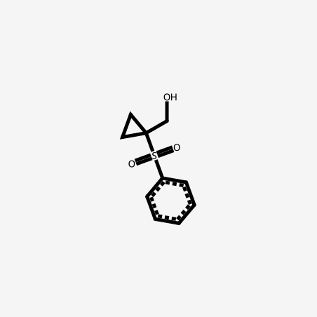 O=S(=O)(c1ccccc1)C1(CO)CC1